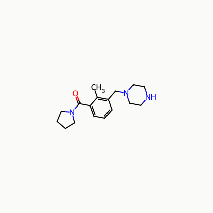 Cc1c(CN2CCNCC2)cccc1C(=O)N1CCCC1